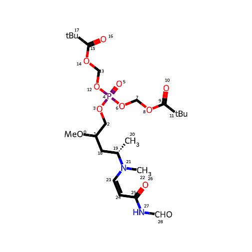 COC(COP(=O)(OCOC(=O)C(C)(C)C)OCOC(=O)C(C)(C)C)C[C@H](C)N(C)/C=C\C(=O)NC=O